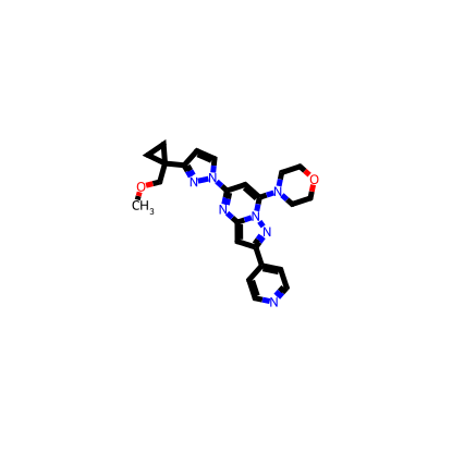 COCC1(c2ccn(-c3cc(N4CCOCC4)n4nc(-c5ccncc5)cc4n3)n2)CC1